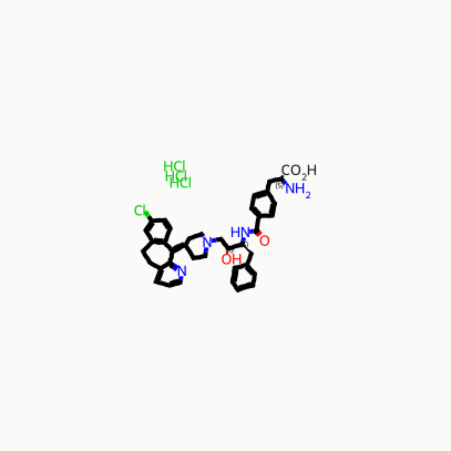 Cl.Cl.Cl.N[C@@H](Cc1ccc(C(=O)N[C@@H](Cc2ccccc2)[C@H](O)CN2CCC(=C3c4ccc(Cl)cc4CCc4cccnc43)CC2)cc1)C(=O)O